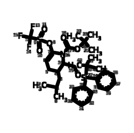 CC(C)CC1CC=C(OS(=O)(=O)C(F)(F)F)N(C(=O)OC(C)(C)C)C1CO[Si](c1ccccc1)(c1ccccc1)C(C)(C)C